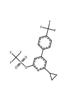 O=S(=O)(Oc1cc(-c2ccc(C(F)(F)F)cc2)cc(C2CC2)n1)C(F)(F)F